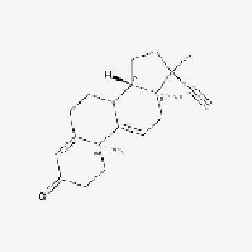 C#CC1(C)CC[C@H]2C3CCC4=CC(=O)CC[C@]4(C)C3=CC[C@@]21C